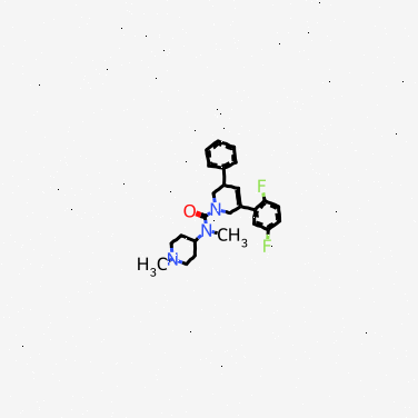 CN1CCC(N(C)C(=O)N2CC(c3cc(F)ccc3F)=CC(c3ccccc3)C2)CC1